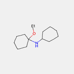 CCOC1(NC2CCCCC2)CCCCC1